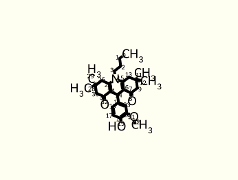 CCCCN1C2=C(C(=O)CC(C)(C)C2)C(c2ccc(O)c(OC)c2)C2=C1CC(C)(C)CC2=O